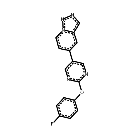 Fc1ccc(Oc2ncc(-c3ccn4nncc4c3)cn2)cc1